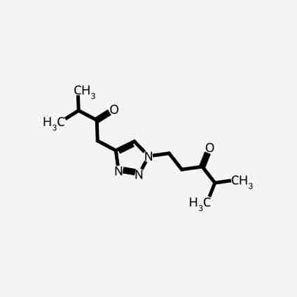 CC(C)C(=O)CCn1cc(CC(=O)C(C)C)nn1